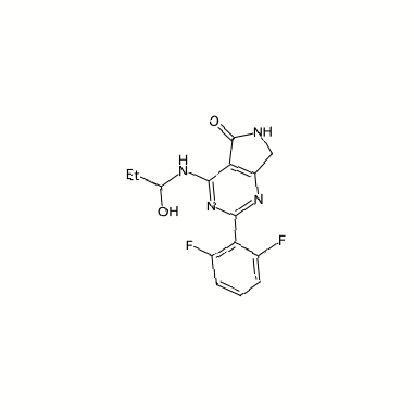 CCC(O)Nc1nc(-c2c(F)cccc2F)nc2c1C(=O)NC2